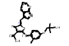 Cc1cc(OCC(C)(C)O)ccc1NC1=C(C(=O)O)C(=O)/C(=C/c2c[nH]c3ncccc23)O1